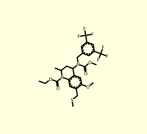 CCOC(=O)N1c2cc(CSC)c(OC)cc2C(N(Cc2cc(C(F)(F)F)cc(C(F)(F)F)c2)C(=O)OC)CC1C